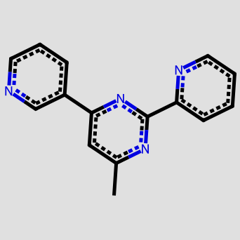 Cc1cc(-c2cccnc2)nc(-c2ccccn2)n1